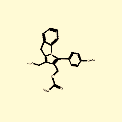 CNC(=O)OCc1c(COC)c2n(c1-c1ccc(OC)cc1)-c1ccccc1C2